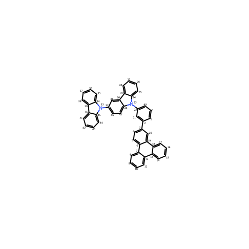 c1cc(-c2ccc3c4ccccc4c4ccccc4c3c2)cc(-n2c3ccccc3c3cc(-n4c5ccccc5c5ccccc54)ccc32)c1